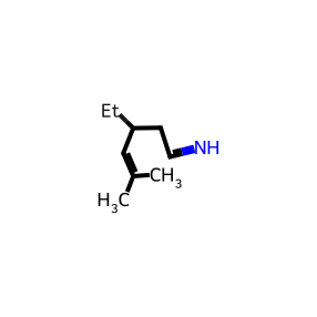 CCC(C=C(C)C)CC=N